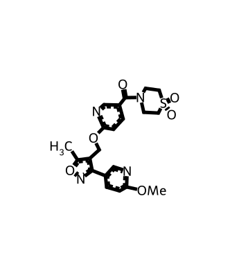 COc1ccc(-c2noc(C)c2COc2ccc(C(=O)N3CCS(=O)(=O)CC3)cn2)cn1